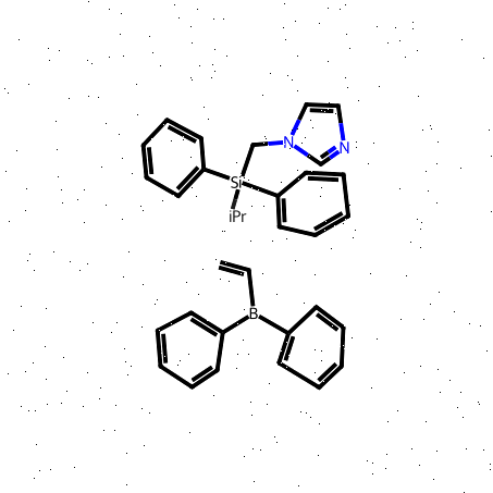 C=CB(c1ccccc1)c1ccccc1.CC(C)[Si](Cn1ccnc1)(c1ccccc1)c1ccccc1